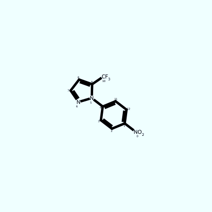 O=[N+]([O-])c1ccc(-n2nc[c]c2C(F)(F)F)cc1